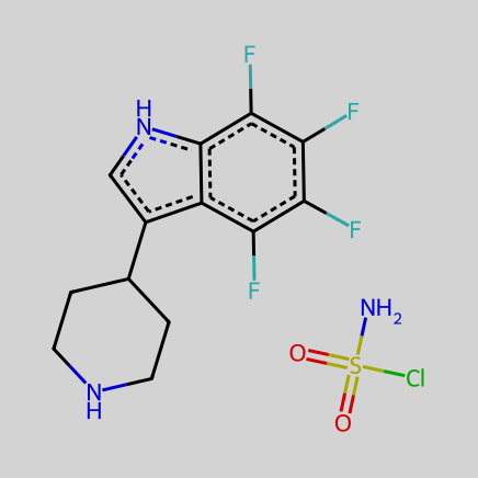 Fc1c(F)c(F)c2c(C3CCNCC3)c[nH]c2c1F.NS(=O)(=O)Cl